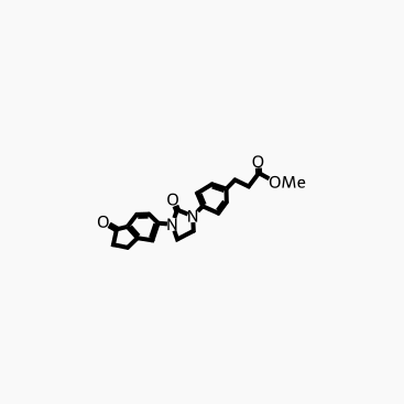 COC(=O)CCc1ccc(N2CCN(c3ccc4c(c3)CCC4=O)C2=O)cc1